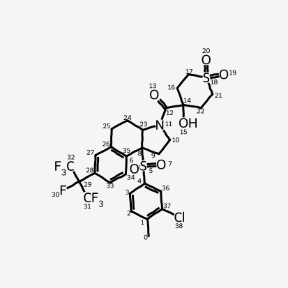 Cc1ccc(S(=O)(=O)C23CCN(C(=O)C4(O)CCS(=O)(=O)CC4)C2CCc2cc(C(F)(C(F)(F)F)C(F)(F)F)ccc23)cc1Cl